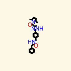 CC1CCC(C)N1C(=O)c1c[nH]c(-c2ccc(CNC(=O)Cc3ccccc3)cc2)n1